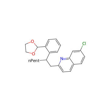 CCCCCC(Cc1ccc2ccc(Cl)cc2n1)c1ccccc1C1OCCO1